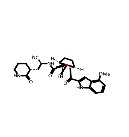 COc1cccc2[nH]c(C(=O)N3[C@@H]4CC[C@H]([C@H]3C(=O)N[C@H](C#N)C[C@H]3CCCNC3=O)C(F)(F)C4)cc12